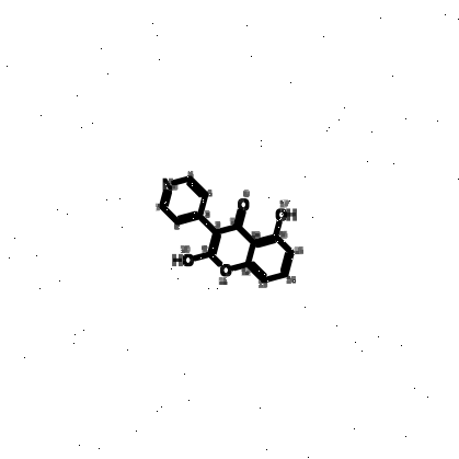 O=c1c(-c2ccncc2)c(O)oc2cccc(O)c12